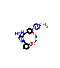 CN1CCN(c2ccc3cc2OCCCOCc2cccc(F)c2-c2ncc4[nH]nc-3c4n2)CC1